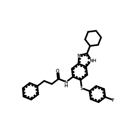 O=C(CCc1ccccc1)Nc1cc2nc(C3CCCCC3)[nH]c2cc1Sc1ccc(F)cc1